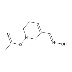 CC(=O)ON1CCC=C(/C=N/O)C1